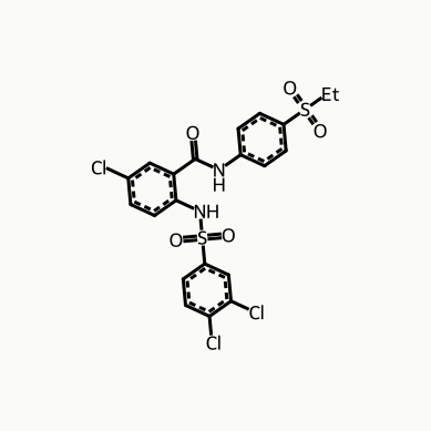 CCS(=O)(=O)c1ccc(NC(=O)c2cc(Cl)ccc2NS(=O)(=O)c2ccc(Cl)c(Cl)c2)cc1